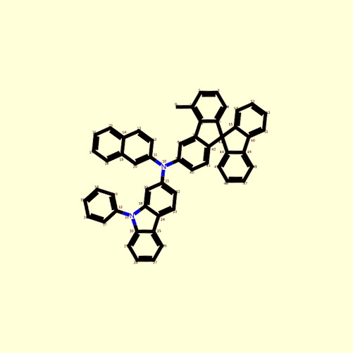 Cc1cccc2c1-c1cc(N(c3ccc4ccccc4c3)c3ccc4c5ccccc5n(-c5ccccc5)c4c3)ccc1C21c2ccccc2-c2ccccc21